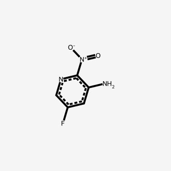 Nc1cc(F)cnc1[N+](=O)[O-]